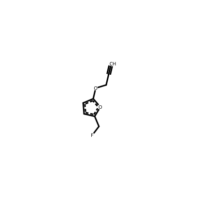 C#CCOc1ccc(CF)o1